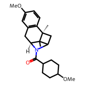 COc1ccc2c(c1)C[C@@H]1N(C(=O)C3CCC(OC)CC3)C3C[C@@]2(C)C31C